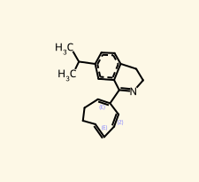 CC(C)c1ccc2c(c1)C(C1=C/CC/C=C/C=C\1)=NCC2